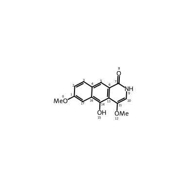 COc1ccc2cc3c(=O)[nH]cc(OC)c3c(O)c2c1